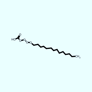 CCCCCCCCCCCCCCOOOOC(=O)O